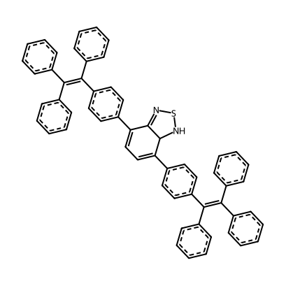 C1=C(c2ccc(C(=C(c3ccccc3)c3ccccc3)c3ccccc3)cc2)C2=NSNC2C(c2ccc(C(=C(c3ccccc3)c3ccccc3)c3ccccc3)cc2)=C1